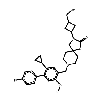 CCOc1cc(-c2ccc(F)cc2)c(C2CC2)cc1CN1CCC2(CC1)CN(C1CC(CO)C1)C(=O)O2